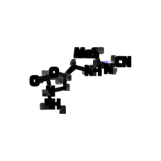 BN1C[C@H](CN/C(=N/C#N)SC)OC1=O